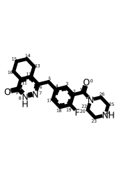 O=C(c1cc(Cc2n[nH]c(=O)c3c2CCCC3)ccc1F)N1CCNCC1